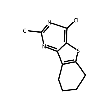 Clc1nc(Cl)c2sc3c(c2n1)CCCC3